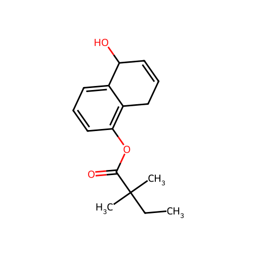 CCC(C)(C)C(=O)Oc1cccc2c1CC=CC2O